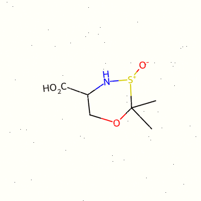 CC1(C)OCC(C(=O)O)N[S+]1[O-]